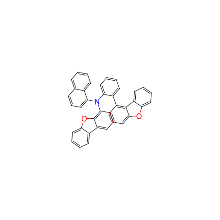 c1ccc(N(c2cccc3ccccc23)c2cccc3c2oc2ccccc23)c(-c2cccc3oc4ccccc4c23)c1